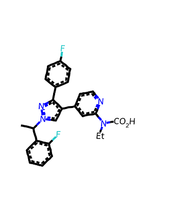 CCN(C(=O)O)c1cc(-c2cn(C(C)c3ccccc3F)nc2-c2ccc(F)cc2)ccn1